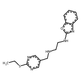 CCSc1ncc(CNCCNc2nc3ccccc3o2)cn1